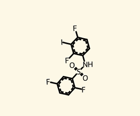 O=S(=O)(Nc1ccc(F)c(I)c1F)c1cc(F)ccc1F